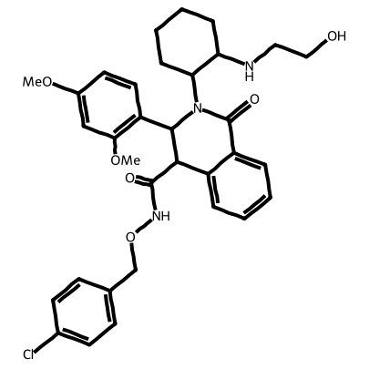 COc1ccc(C2C(C(=O)NOCc3ccc(Cl)cc3)c3ccccc3C(=O)N2C2CCCCC2NCCO)c(OC)c1